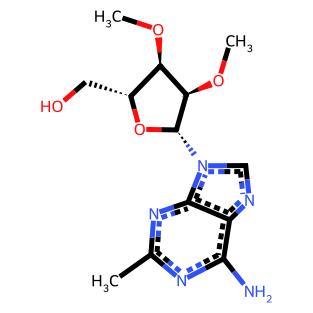 CO[C@@H]1[C@H](OC)[C@@H](CO)O[C@H]1n1cnc2c(N)nc(C)nc21